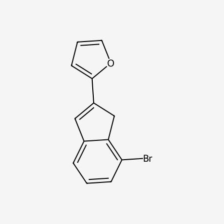 Brc1cccc2c1CC(c1ccco1)=C2